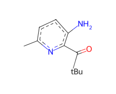 Cc1ccc(N)c(C(=O)C(C)(C)C)n1